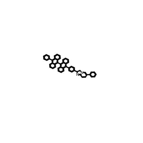 C1=CC2=NC(c3ccc(-c4c5ccccc5c(-c5c6ccccc6c(-c6ccccc6)c6ccccc56)c5ccccc45)cc3)CN2C=C1c1ccccc1